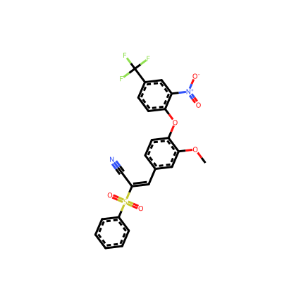 COc1cc(/C=C(\C#N)S(=O)(=O)c2ccccc2)ccc1Oc1ccc(C(F)(F)F)cc1[N+](=O)[O-]